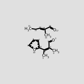 CC(C=O)=C(C)c1ccco1.CC/C=C(\C)C=O